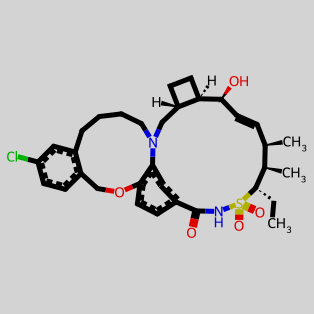 CC[C@H]1[C@H](C)[C@H](C)/C=C/[C@H](O)[C@@H]2CC[C@H]2CN2CCCCc3cc(Cl)ccc3COc3ccc(cc32)C(=O)NS1(=O)=O